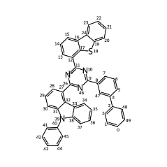 c1ccc(-c2cccc(-c3nc(-c4cccc5c4sc4ccccc45)nc(-c4cccc5c4c4ccccc4n5-c4ccccc4)n3)c2)cc1